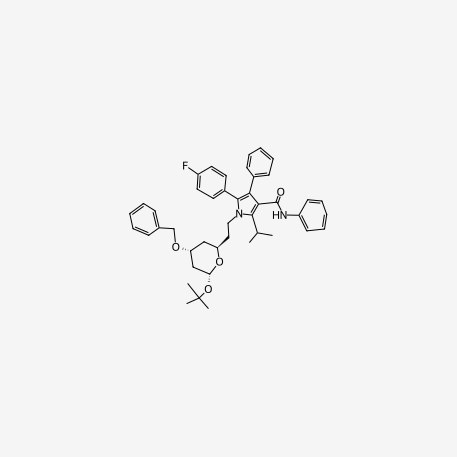 CC(C)c1c(C(=O)Nc2ccccc2)c(-c2ccccc2)c(-c2ccc(F)cc2)n1CC[C@@H]1C[C@@H](OCc2ccccc2)C[C@@H](OC(C)(C)C)O1